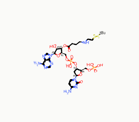 CC(C)(C)SSCCNCCCC(=O)O[C@H]1[C@@H](O)[C@H](n2cnc3c(N)ncnc32)O[C@@H]1COP(=O)(O)O[C@H]1C[C@H](n2ccc(N)nc2=O)O[C@@H]1COP(=O)(O)O